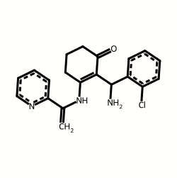 C=C(NC1=C(C(N)c2ccccc2Cl)C(=O)CCC1)c1ccccn1